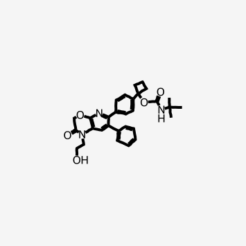 CC(C)(C)NC(=O)OC1(c2ccc(-c3nc4c(cc3-c3ccccc3)N(CCO)C(=O)CO4)cc2)CCC1